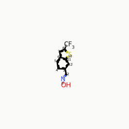 ON=Cc1ccc2cc(C(F)(F)F)sc2c1